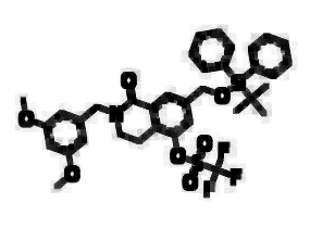 COc1cc(CN2CCc3c(OS(=O)(=O)C(F)(F)F)cc(CO[Si](c4ccccc4)(c4ccccc4)C(C)(C)C)cc3C2=O)cc(OC)c1